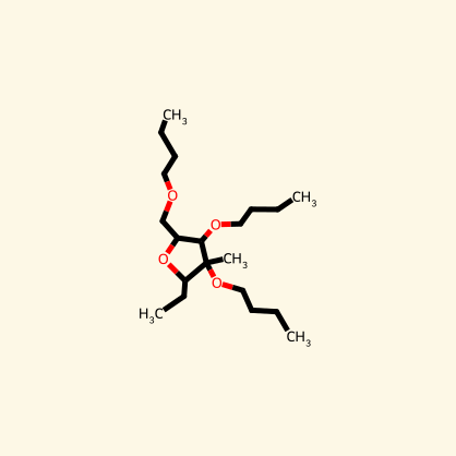 CCCCOCC1OC(CC)C(C)(OCCCC)C1OCCCC